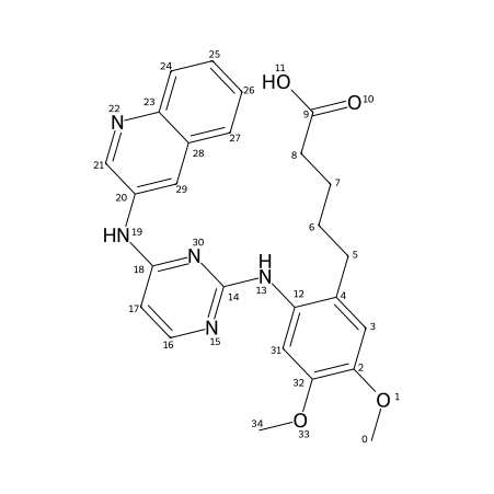 COc1cc(CCCCC(=O)O)c(Nc2nccc(Nc3cnc4ccccc4c3)n2)cc1OC